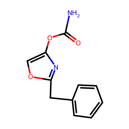 NC(=O)Oc1coc(Cc2ccccc2)n1